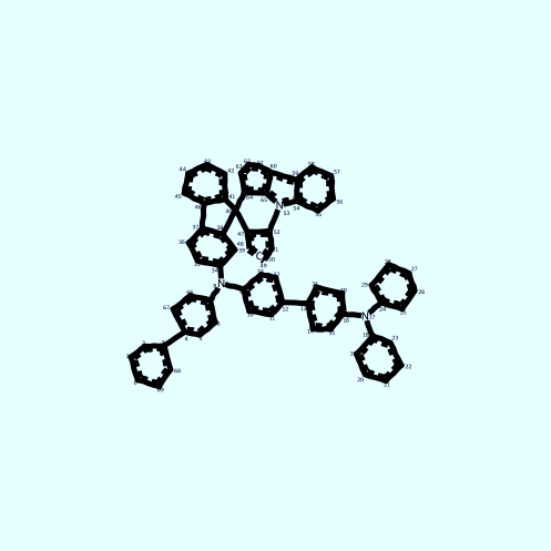 c1ccc(-c2ccc(N(c3ccc(-c4ccc(N(c5ccccc5)c5ccccc5)cc4)cc3)c3ccc4c(c3)C3(c5ccccc5-4)c4ccccc4-n4c5ccccc5c5cccc3c54)cc2)cc1